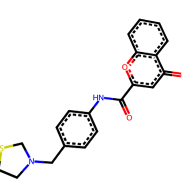 O=C(Nc1ccc(CN2CCSC2)cc1)c1cc(=O)c2ccccc2o1